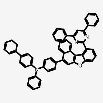 C1=CCCC(c2ccc(N(c3ccccc3)c3ccc(-c4cc5oc6cccc(-c7nc(-c8ccccc8)cc(-c8ccccc8)n7)c6c5c5ccccc45)cc3)cc2)=C1